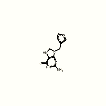 Nc1nc2c(c(=O)[nH]1)NCN2Cc1ccsc1